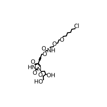 O=C(NCCOCCOCCCCCCCl)OCC#Cc1cn([C@H]2CC(O)C(CO)O2)c(=O)[nH]c1=O